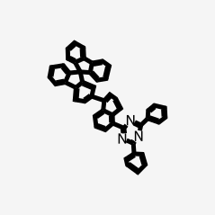 c1ccc(-c2nc(-c3ccccc3)nc(-c3cccc4c(-c5ccc6c(c5)C5(c7ccccc7-c7ccccc75)c5ccccc5-6)cccc34)n2)cc1